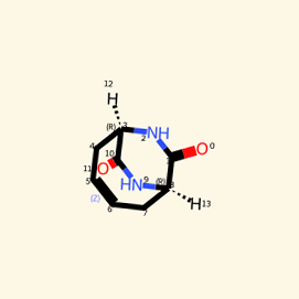 O=C1N[C@@H]2C/C=C\C[C@H]1NC2=O